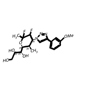 COc1cccc(-c2cn([C@H]3C(F)C(C)(F)O[C@@H]([C@H](O)[C@H](O)CO)[C@@H]3C)nn2)c1